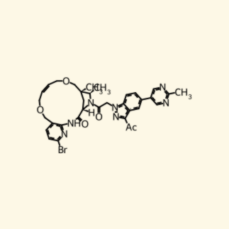 CC(=O)c1nn(CC(=O)N2[C@H]3C[C@](C)(COCC=CCOCc4ccc(Br)nc4NC3=O)[C@H]2C)c2ccc(-c3cnc(C)nc3)cc12